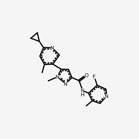 Cc1cc(C2CC2)ncc1-c1cc(C(=O)Nc2c(C)cncc2F)nn1C